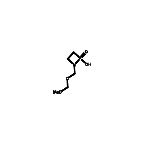 COCOCN1CCP1(=O)O